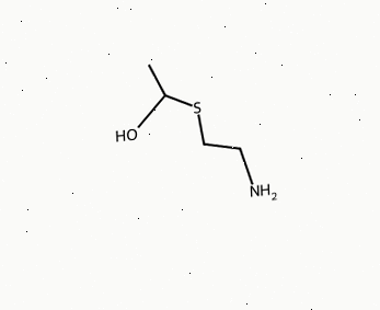 CC(O)SCCN